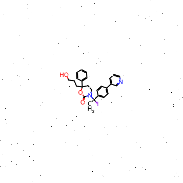 C[C@](I)(c1ccc(-c2cccnc2)cc1)N1CCC(CCCO)(c2ccccc2)OC1=O